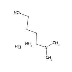 CN(C)CCCCO.Cl.N